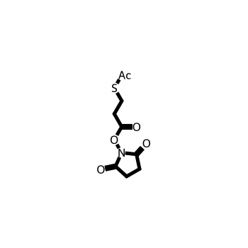 CC(=O)SCCC(=O)ON1C(=O)CCC1=O